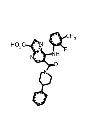 Cc1cccc(Nc2c(C(=O)N3CCC(c4ccccc4)CC3)cnc3c(C(=O)O)cnn23)c1F